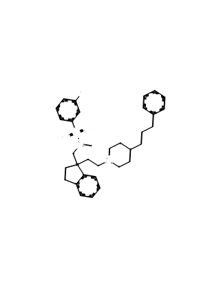 CN(CC1(CCN2CCC(CCCc3ccccc3)CC2)CCc2ccccc21)S(=O)(=O)c1cccc(Cl)c1